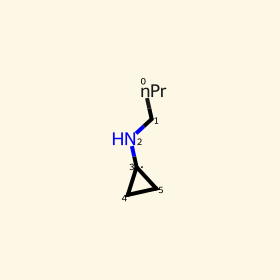 CCCCN[C]1CC1